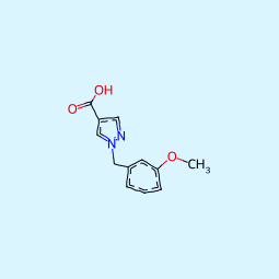 COc1cccc(Cn2cc(C(=O)O)cn2)c1